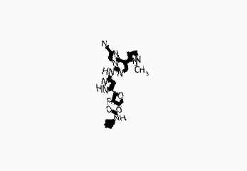 Cn1nccc1-c1cnc(Nc2cc([C@@H]3OC[C@H](OC(=O)NC45CC(C4)C5)[C@@H]3F)[nH]n2)n2cc(C#N)nc12